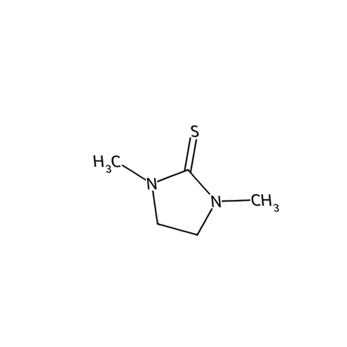 CN1CCN(C)C1=S